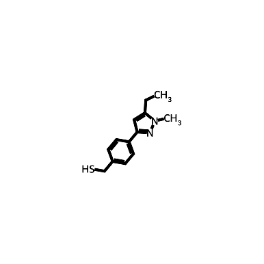 CCc1cc(-c2ccc(CS)cc2)nn1C